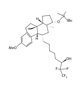 C=C[C@]12CCc3cc(OC)ccc3[C@H]1[C@@H](CCCCC[C@@H](O)C(F)(F)C(F)(F)F)C[C@]1(C)[C@@H](O[Si](C)(C)C(C)(C)C)CC[C@H]12